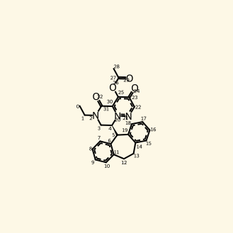 CCN1C[C@H](C2c3ccccc3CCc3ccccc32)n2ncc(=O)c(OC(C)=O)c2C1=O